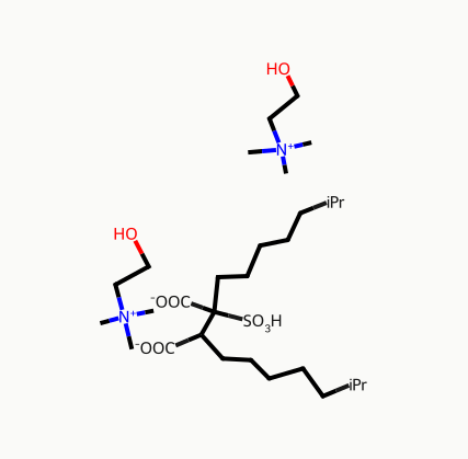 CC(C)CCCCCC(C(=O)[O-])C(CCCCCC(C)C)(C(=O)[O-])S(=O)(=O)O.C[N+](C)(C)CCO.C[N+](C)(C)CCO